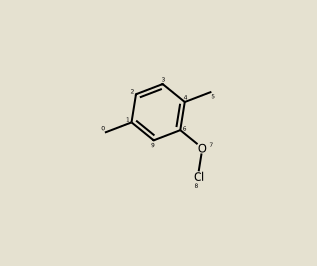 Cc1ccc(C)c(OCl)c1